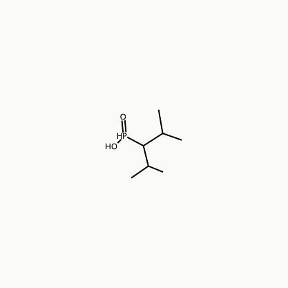 CC(C)C(C(C)C)[PH](=O)O